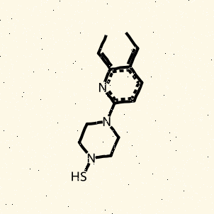 C/C=c1/ccc(N2CCN(S)CC2)n/c1=C/C